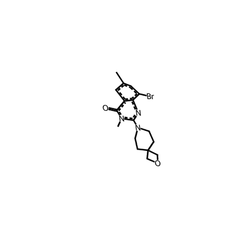 Cc1cc(Br)c2nc(N3CCC4(CC3)COC4)n(C)c(=O)c2c1